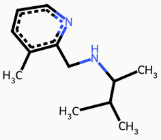 Cc1cccnc1CNC(C)C(C)C